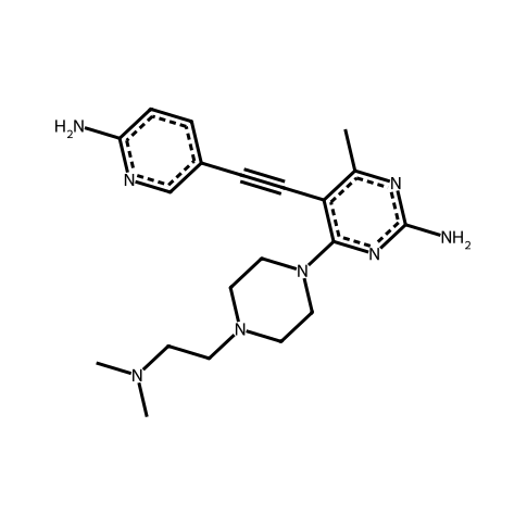 Cc1nc(N)nc(N2CCN(CCN(C)C)CC2)c1C#Cc1ccc(N)nc1